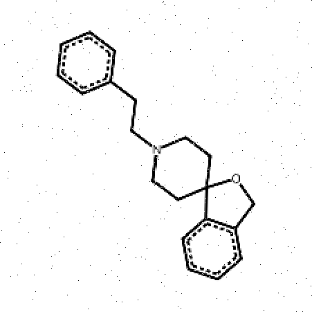 c1ccc(CCN2CCC3(CC2)OCc2ccccc23)cc1